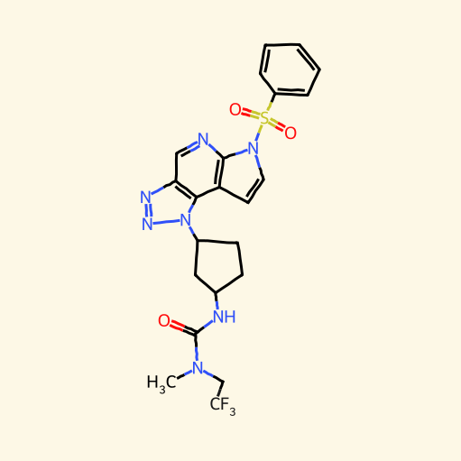 CN(CC(F)(F)F)C(=O)NC1CCC(n2nnc3cnc4c(ccn4S(=O)(=O)c4ccccc4)c32)C1